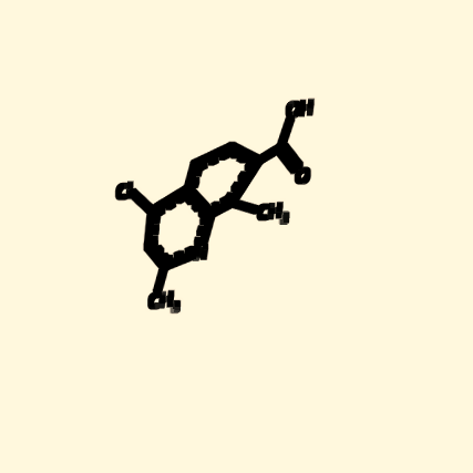 Cc1cc(Cl)c2ccc(C(=O)O)c(C)c2n1